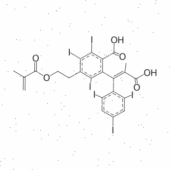 C=C(C)C(=O)OCCc1c(I)c(I)c(C(=O)O)c(C(=C(C)C(=O)O)c2c(I)cc(I)cc2I)c1I